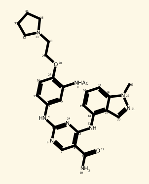 CC(=O)Nc1cc(Nc2ncc(C(N)=O)c(Nc3cccc4c3cnn4C)n2)ccc1OCCN1CCCC1